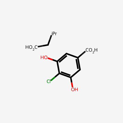 CC(C)CC(=O)O.O=C(O)c1cc(O)c(Cl)c(O)c1